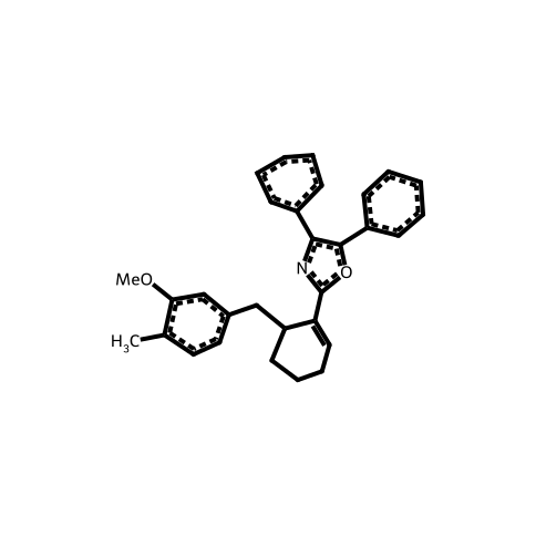 COc1cc(CC2CCCC=C2c2nc(-c3ccccc3)c(-c3ccccc3)o2)ccc1C